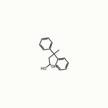 CC(CC(O)O)(c1ccccc1)c1ccccc1